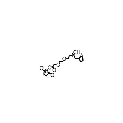 CN(CCOCCOCC(=O)ON1C(=O)CCC1=O)CC1=CC=CC1